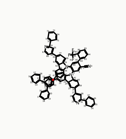 N#Cc1cc(-n2c3ccc(-c4ccnc(-c5ccccc5)c4)cc3c3cc(-c4ccnc(-c5ccccc5)c4)ccc32)c(-n2c3ccc(-c4ccnc(-c5ccccc5)c4)cc3c3cc(-c4ccnc(-c5ccccc5)c4)ccc32)cc1-c1ccccc1C(F)(F)F